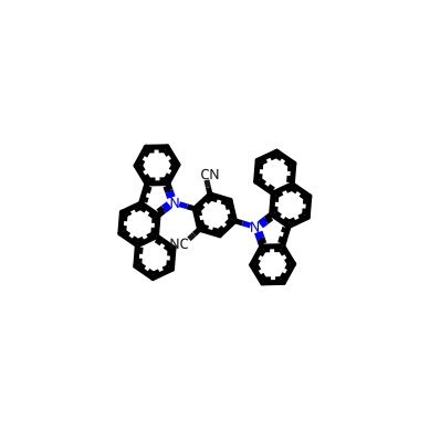 N#Cc1cc(-n2c3ccccc3c3ccc4ccccc4c32)cc(C#N)c1-n1c2ccccc2c2ccc3ccccc3c21